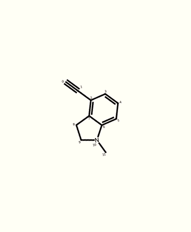 C#Cc1cccc2c1CCN2C